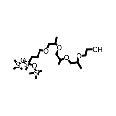 CC(COCCC[Si](C)(O[Si](C)(C)C)O[Si](C)(C)C)OCC(C)OCC(C)OCCO